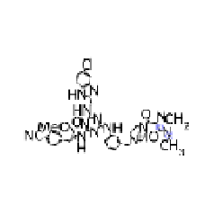 C=N/C(C(=O)N1CCN(Cc2cccc(Nc3nc(NCc4nc5cc(Cl)ccc5[nH]4)nc(N[C@@H](Cc4ccc(C#N)cc4)C(=O)OC)n3)c2)CC1)=C(O)\N=C/C